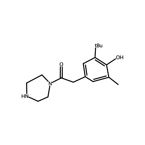 Cc1cc(CC(=O)N2CCNCC2)cc(C(C)(C)C)c1O